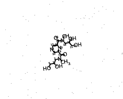 CN(CC(O)CO)C(=O)c1cncc(C(=O)N(C)CC(O)CO)n1